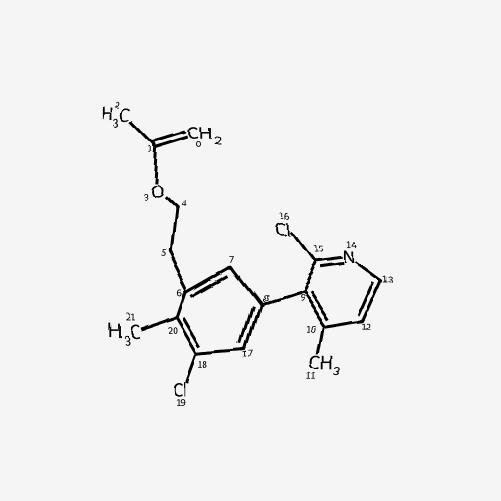 C=C(C)OCCc1cc(-c2c(C)ccnc2Cl)cc(Cl)c1C